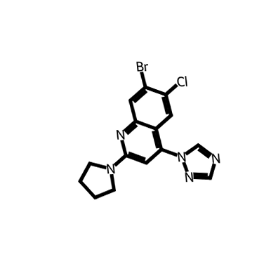 Clc1cc2c(-n3cncn3)cc(N3CCCC3)nc2cc1Br